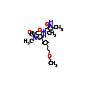 CCCOCCCCc1ccc(-c2cc(C(=O)NCc3c(C)cc(C)[nH]c3=O)c(C)c(N(CC)C3CCOCC3)c2)cc1